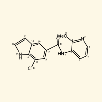 COc1ncccc1NC(=O)c1cc(Cl)c2[nH]ccc2c1